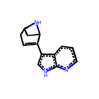 C1=C(c2c[nH]c3ncccc23)C2CC(C1)N2